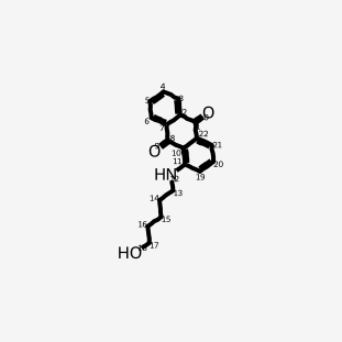 O=C1c2ccccc2C(=O)c2c(NCCCCCO)cccc21